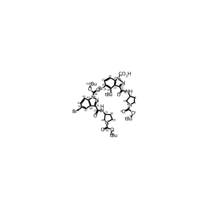 CC(C)(C)OC(=O)N1CCC(NC(=O)c2nn(C(=O)O)c3ccc(Br)c(C(C)(C)C)c23)C1.CC(C)(C)OC(=O)N1CCC(NC(=O)c2nn(C(=O)OC(C)(C)C)c3ccc(Br)cc23)C1